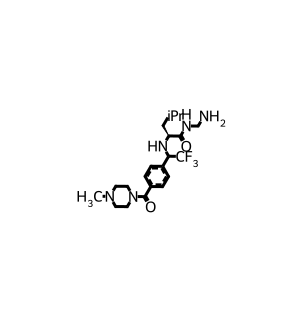 CC(C)C[C@H](NC(c1ccc(C(=O)N2CCN(C)CC2)cc1)C(F)(F)F)C(=O)NCN